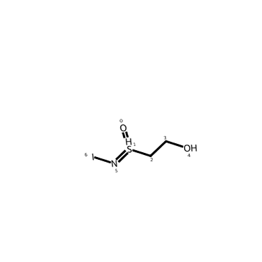 O=[SH](CCO)=NI